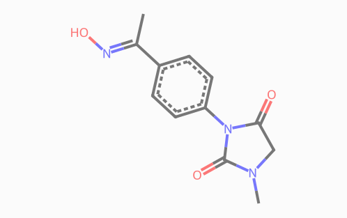 CC(=NO)c1ccc(N2C(=O)CN(C)C2=O)cc1